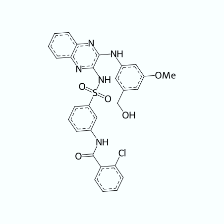 COc1cc(CO)cc(Nc2nc3ccccc3nc2NS(=O)(=O)c2cccc(NC(=O)c3ccccc3Cl)c2)c1